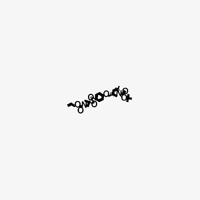 C=CCOC(=O)N1CC(S(=O)(=O)c2ccc(OC[C@H]3C[C@@H](C)N(C(=O)OC(C)(C)C)C3)cc2)C1